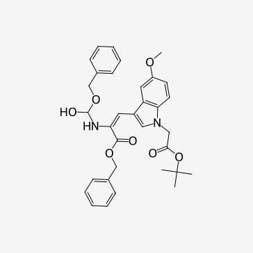 COc1ccc2c(c1)c(/C=C(/NC(O)OCc1ccccc1)C(=O)OCc1ccccc1)cn2CC(=O)OC(C)(C)C